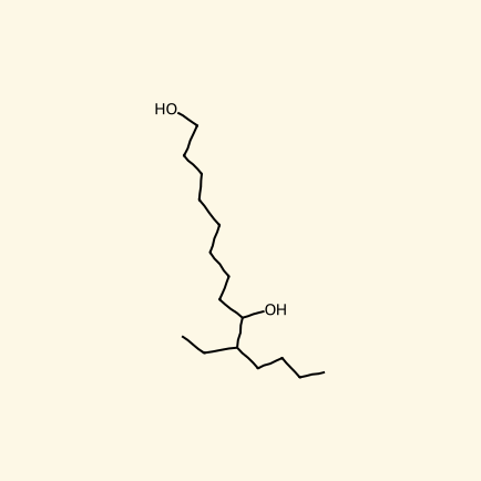 CCCCC(CC)C(O)CCCCCCCCO